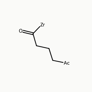 CC(=O)CCC[C](=O)[Zr]